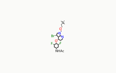 CC(=O)Nc1cc(F)c(Oc2ccnc3c2c(Br)cn3COCC[Si](C)(C)C)c(F)c1